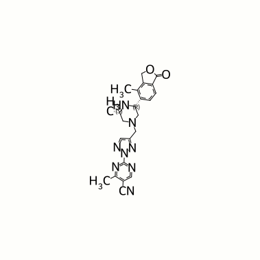 Cc1nc(-n2ncc(CN3C[C@@H](c4ccc5c(c4C)COC5=O)N[C@@H](C)C3)n2)ncc1C#N